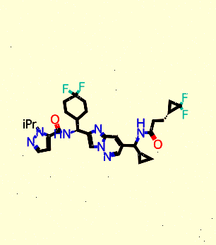 CC(C)n1nccc1C(=O)N[C@H](c1cn2ncc(C(NC(=O)CC[C@@H]3CC3(F)F)C3CC3)cc2n1)C1CCC(F)(F)CC1